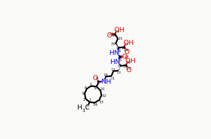 CC1CCCCC(C(=O)NCCCC[C@H](NC(=O)N[C@@H](CCC(=O)O)C(=O)O)C(=O)O)CCCC1